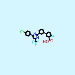 O=C(O)c1cc(-c2cccc(-c3nc(-c4ccc(Cl)cc4)cc(C(F)(F)F)n3)c2)ccc1F